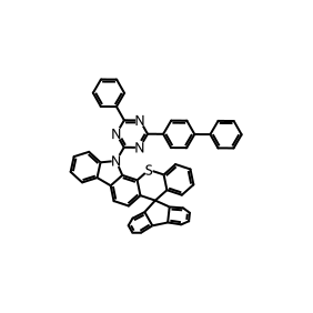 c1ccc(-c2ccc(-c3nc(-c4ccccc4)nc(-n4c5ccccc5c5ccc6c(c54)Sc4ccccc4C64c5ccccc5-c5ccccc54)n3)cc2)cc1